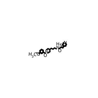 CCOc1cccc(C(=O)N2CCC(CCCCNC(=O)c3cc4ccncc4s3)CC2)c1